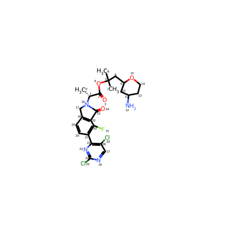 C[C@H](C(=O)OC(C)(C)CC1CC(N)CCO1)N1Cc2ccc(-c3nc(Cl)ncc3Cl)c(F)c2C1=O